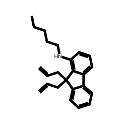 C=CCC1(CC=C)c2ccccc2-c2cccc(NCCCCC)c21